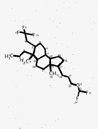 CCCC1(C)C(CC(F)(F)F)CCC2C3CCC(CCCOC(F)F)C3(C)CCC21